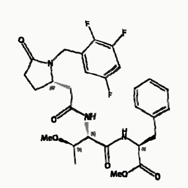 COC(=O)[C@H](Cc1ccccc1)NC(=O)[C@@H](NC(=O)C[C@@H]1CCC(=O)N1Cc1cc(F)cc(F)c1F)[C@@H](C)OC